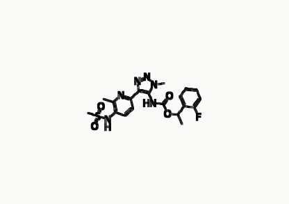 Cc1nc(-c2nnn(C)c2NC(=O)OC(C)c2ccccc2F)ccc1NS(C)(=O)=O